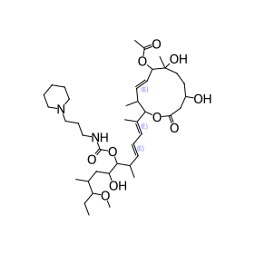 CCC(OC)C(C)CC(O)C(OC(=O)NCCCN1CCCCC1)C(C)/C=C/C=C(\C)C1OC(=O)CC(O)CCC(C)(O)C(OC(C)=O)/C=C/C1C